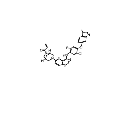 C=CC(=O)N1C[C@@H]2C[C@H]1CN(c1ccc3ncnc(Nc4cc(Cl)c(Oc5ccc6c(c5)ncn6C)cc4F)c3n1)C2